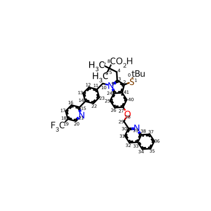 CC(C)(C)Sc1c(CC(C)(C)C(=O)O)n(Cc2ccc(-c3ccc(C(F)(F)F)cn3)cc2)c2ccc(OCc3ccc4ccccc4n3)cc12